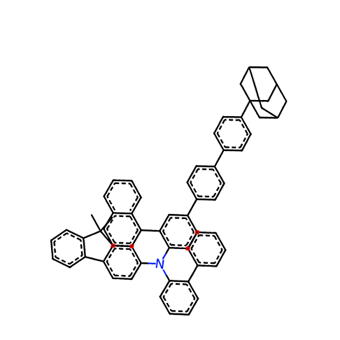 CC1(C)c2ccccc2-c2ccc(N(c3ccccc3-c3ccccc3)c3ccc(-c4ccc(-c5ccc(C67CC8CC(CC(C8)C6)C7)cc5)cc4)cc3-c3cccc4ccccc34)cc21